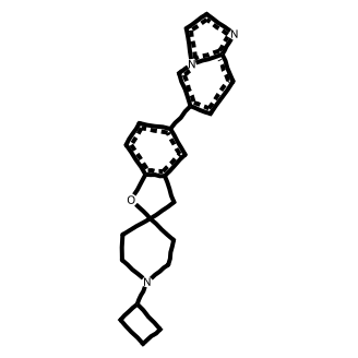 c1cn2cc(-c3ccc4c(c3)CC3(CCN(C5CCC5)CC3)O4)ccc2n1